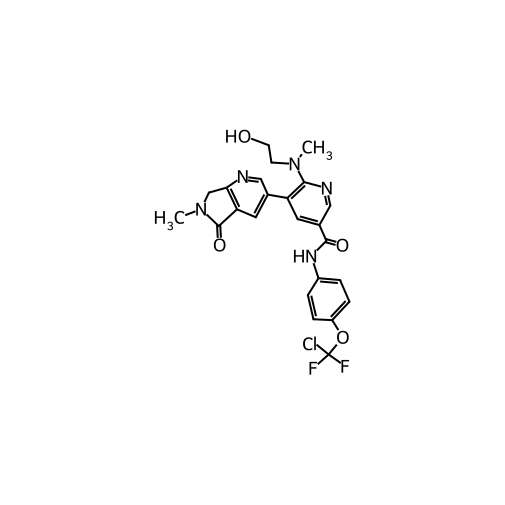 CN1Cc2ncc(-c3cc(C(=O)Nc4ccc(OC(F)(F)Cl)cc4)cnc3N(C)CCO)cc2C1=O